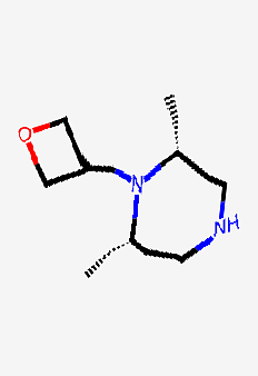 C[C@@H]1CNC[C@H](C)N1C1COC1